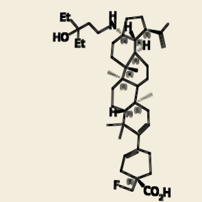 C=C(C)[C@@H]1CC[C@]2(NCCC(O)(CC)CC)CC[C@]3(C)[C@H](CCC4[C@@]5(C)CC=C(C6=CC[C@](CF)(C(=O)O)CC6)C(C)(C)[C@@H]5CC[C@]43C)[C@@H]12